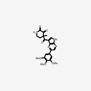 COc1cc(-c2cnc3[nH]cc(C(=O)C4(C)CC[SH4]C(=O)C4=O)c3n2)cc(OC)c1OC